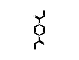 C=CC(=O)N1C=CN(C(=O)C=C)C=C1